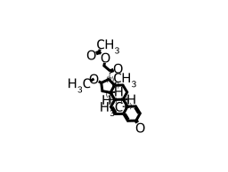 COC1C[C@H]2[C@@H]3C=CC4=CC(=O)C=C[C@]4(C)[C@H]3CC[C@]2(C)[C@H]1C(=O)COC(C)=O